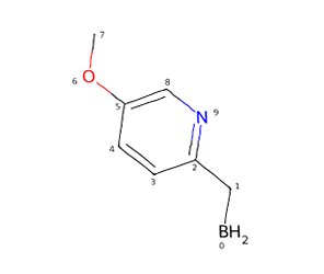 BCc1ccc(OC)cn1